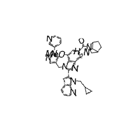 COc1cc(C(=O)N2CC3CCC2C3N)cc2nc(-c3cc4cccnc4n3CC3CC3)n(Cc3cnn(-c4cccnc4)c3)c12